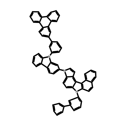 c1ccc(-c2cccc(-n3c4ccc5ccccc5c4c4c5ccn(-c6ccc7c8ccccc8n(-c8cccc(-c9ccc%10c%11ccccc%11c%11ccccc%11c%10c9)c8)c7c6)c5ccc43)c2)cc1